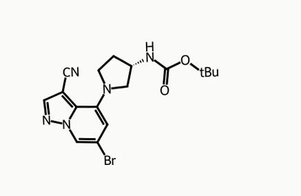 CC(C)(C)OC(=O)N[C@H]1CCN(c2cc(Br)cn3ncc(C#N)c23)C1